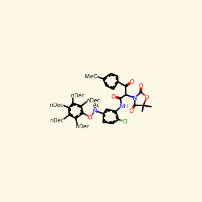 CCCCCCCCCCc1c(CCCCCCCCCC)c(CCCCCCCCCC)c(ON(C(C)=O)c2ccc(Cl)c(NC(=O)C(C(=O)c3ccc(OC)cc3)N3C(=O)OC(C)(C)C3=O)c2)c(CCCCCCCCCC)c1CCCCCCCCCC